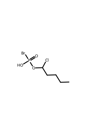 CCCCC(Cl)OP(=O)(O)Br